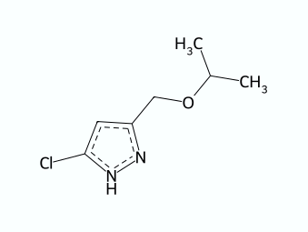 CC(C)OCc1cc(Cl)[nH]n1